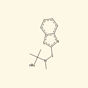 CCCCC(C)(C)N(C)Sc1nc2ccccc2s1